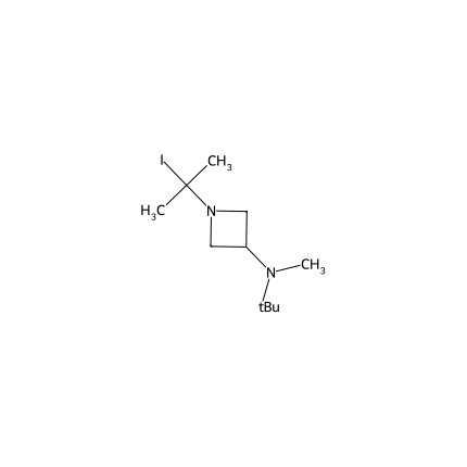 CN(C1CN(C(C)(C)I)C1)C(C)(C)C